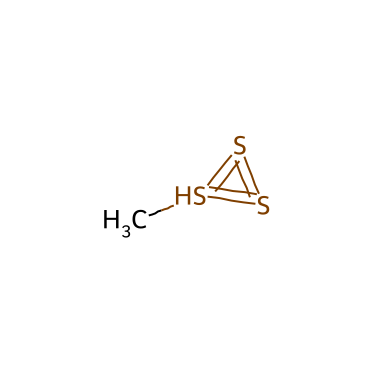 C[SH]1=S=S=1